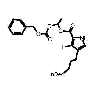 CCCCCCCCCCCCCc1c[nH]c(C(=O)OC(C)OC(=O)OCc2ccccc2)c1F